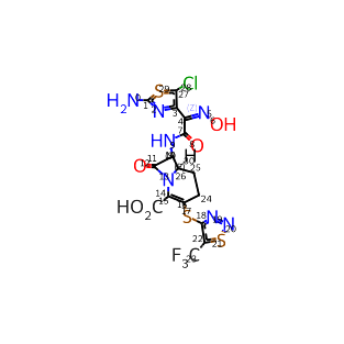 Nc1nc(/C(=N/O)C(=O)N[C@@H]2C(=O)N3C(C(=O)O)=C(Sc4nnsc4C(F)(F)F)CC[C@H]23)c(Cl)s1